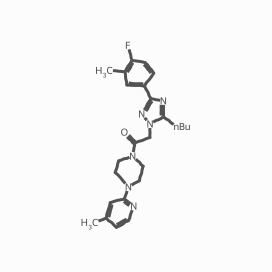 CCCCc1nc(-c2ccc(F)c(C)c2)nn1CC(=O)N1CCN(c2cc(C)ccn2)CC1